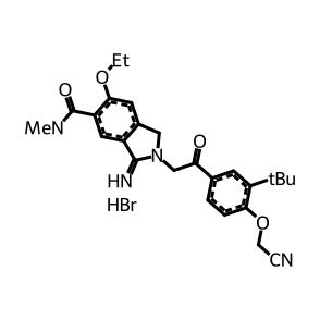 Br.CCOc1cc2c(cc1C(=O)NC)C(=N)N(CC(=O)c1ccc(OCC#N)c(C(C)(C)C)c1)C2